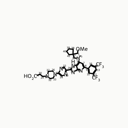 COCC1(CN(C)c2cc(-c3cc(C(F)(F)F)cc(C(F)(F)F)c3)nc3nc(-c4cnc(N5CCN(CCC(=O)O)CC5)cn4)[nH]c23)CCCC1